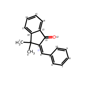 CC1(C)/C(=C/c2ccccc2)C(=O)c2ccccc21